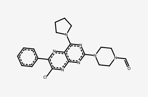 O=CN1CCN(c2nc(N3CCCC3)c3nc(-c4ccccc4)c(Cl)nc3n2)CC1